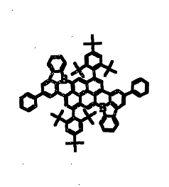 CC(C)(C)c1cc(C(C)(C)C)c(-c2cc3c4c(cc5c(-c6c(C(C)(C)C)cc(C(C)(C)C)cc6C(C)(C)C)cc6c7c(cc2c4c57)B2c4ccccc4-c4cc(-c5ccccc5)cc-6c42)B2c4ccccc4-c4cc(-c5ccccc5)cc-3c42)c(C(C)(C)C)c1